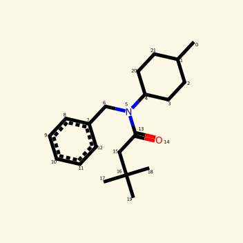 CC1CCC(N(Cc2ccccc2)C(=O)CC(C)(C)C)CC1